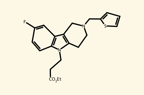 CCOC(=O)CCn1c2c(c3cc(F)ccc31)CN(Cc1cccs1)CC2